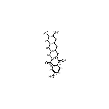 CC(C)CCCCCCOC(=O)c1ccc(O)cc1C(=O)OCCCCCCC(C)C